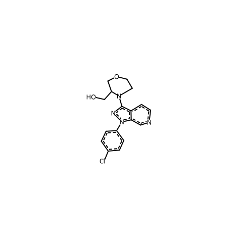 OCC1COCCN1c1nn(-c2ccc(Cl)cc2)c2cnccc12